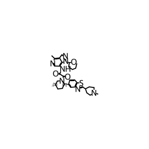 Cc1ncc(NC(=O)C(=O)N2C[C@@H](C)CC[C@@H]2c2ccc3sc(C4CCN(C)CC4)nc3c2)c2c1cnn2C1CCCCO1